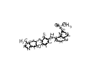 Cn1nnc2cc(Oc3ccc(Nc4ncnc5cnc([S+](C)[O-])nc45)c(F)c3F)ccc21